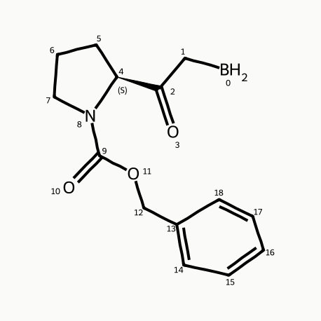 BCC(=O)[C@@H]1CCCN1C(=O)OCc1ccccc1